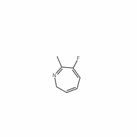 CC1=NCC=CC=C1F